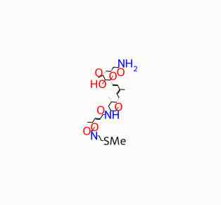 CSCCN(C)C(=O)OC(C)C=CC(=O)N[C@@H]1C[C@H](C)[C@H](CC=C(C)C=C[C@H]2O[C@H](CC(N)=O)C[C@@]3(CO3)[C@@H]2O)O[C@@H]1C